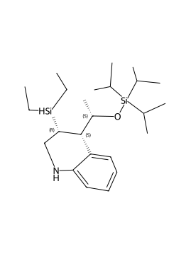 CC[SiH](CC)[C@H]1CNc2ccccc2[C@H]1[C@H](C)O[Si](C(C)C)(C(C)C)C(C)C